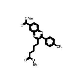 COC(=O)c1ccc2nc(-c3ccc(C(F)(F)F)cc3)c(CCCCC(=O)OC(C)(C)C)nc2c1